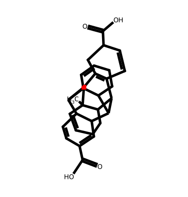 CC12C=CCCC1C1C3=C(CC(C(=O)O)C=C3)C2C2C3C=CC(C(=O)O)=CC3C1C1CCC=CC12